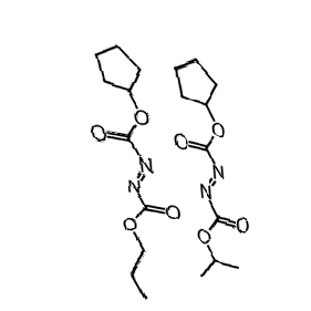 CC(C)OC(=O)N=NC(=O)OC1CCCC1.CCCOC(=O)N=NC(=O)OC1CCCC1